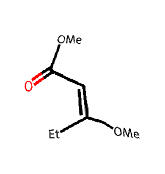 CC/C(=C\C(=O)OC)OC